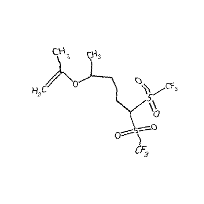 C=C(C)OC(C)CCC(S(=O)(=O)C(F)(F)F)S(=O)(=O)C(F)(F)F